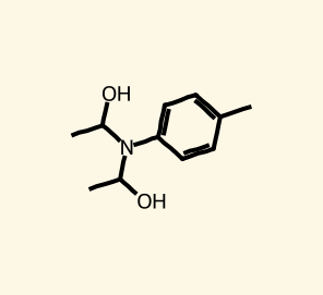 Cc1ccc(N(C(C)O)C(C)O)cc1